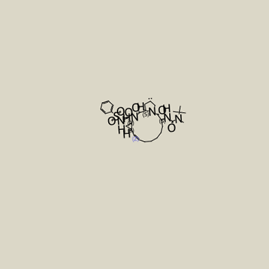 CN(C(=O)N[C@H]1CCCCC/C=C\[C@@H]2C[C@@]2(C(=O)NS(=O)(=O)c2ccccc2)NC(=O)[C@@H]2C[C]CN2C1=O)C(C)(C)C